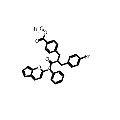 COC(=O)c1ccc(CC(Cc2ccc(Br)cc2)C(=O)N(c2ccccc2)c2ccc3cccc-3o2)cc1